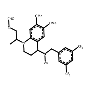 COc1cc2c(cc1OC)N(C(C)COC=O)CCC2N(Cc1cc(C(F)(F)F)cc(C(F)(F)F)c1)C(C)=O